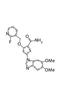 COc1cc2ncn(-c3cc(OCc4cccnc4F)c(C(N)=O)s3)c2cc1OC